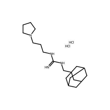 Cl.Cl.N=C(NCCCN1CCCC1)NCC12CC3CC(CC(C3)C1)C2